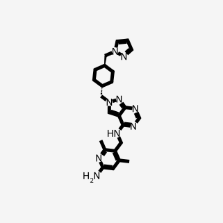 Cc1cc(N)nc(C)c1CNc1ncnc2nn(C[C@H]3CC[C@H](Cn4cccn4)CC3)cc12